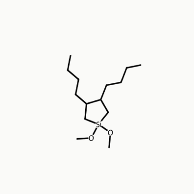 CCCCC1C[Si](OC)(OC)CC1CCCC